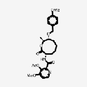 COc1ccc(CO[C@@H]2CCCC[C@H](NC(=O)c3nccc(OC)c3OC(C)=O)C(=O)O[C@H]2C)cc1